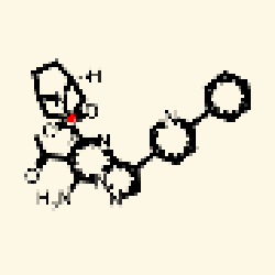 CC(=O)c1c([C@H]2CC3CC[C@@H](C2)N3S(=O)(=O)O)nc2c(-c3ccc(-c4ccccc4)nc3)cnn2c1N